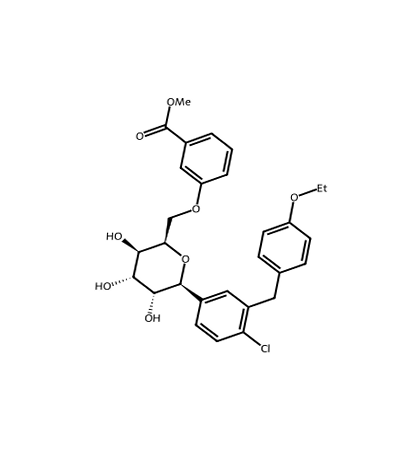 CCOc1ccc(Cc2cc([C@@H]3O[C@H](COc4cccc(C(=O)OC)c4)[C@H](O)[C@@H](O)[C@H]3O)ccc2Cl)cc1